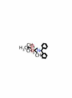 C[C@H]1[C@H](OC(=O)C(C)(C)C)CN1C(c1ccccc1)c1ccccc1